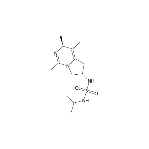 CC1=N[C@@H](C)C(C)=C2C[C@H](NS(=O)(=O)NC(C)C)CN12